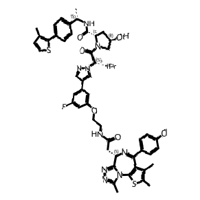 Cc1ccsc1-c1ccc([C@H](C)NC(=O)[C@@H]2C[C@@H](O)CN2C(=O)[C@H](C(C)C)n2cc(-c3cc(F)cc(OCCNC(=O)C[C@@H]4N=C(c5ccc(Cl)cc5)c5c(sc(C)c5C)-n5c(C)nnc54)c3)cn2)cc1